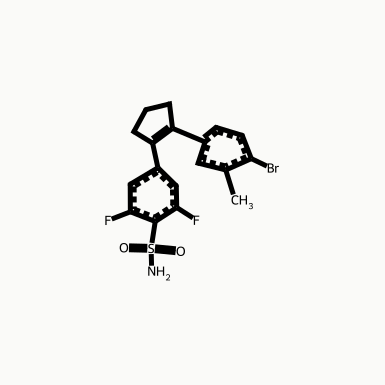 Cc1cc(C2=C(c3cc(F)c(S(N)(=O)=O)c(F)c3)CCC2)ccc1Br